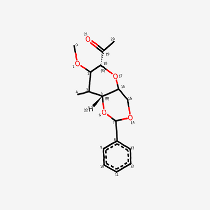 COC1C(C)[C@H]2OC(c3ccccc3)OCC2O[C@H]1C(C)=O